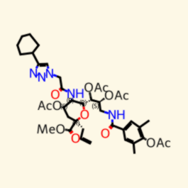 C=CC[C@]1(C(=O)OC)C[C@H](OC(C)=O)[C@@H](NC(=O)Cn2cc(C3CCCCC3)nn2)[C@H](C(OC(C)=O)[C@H](CNC(=O)c2cc(C)c(OC(C)=O)c(C)c2)OC(C)=O)O1